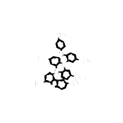 Cc1cc2c3c(c1)N(c1ccc(C(C)(C)C)c4sc5ccc(C(C)(C)C)cc5c14)c1ccc(C(C)(C)C)cc1B3c1cc(C(C)(C)C)ccc1N2c1ccc(C(C)(C)C)cc1